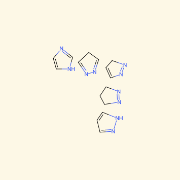 C1=CN=NC1.C1=NN=CC1.C1CN=NC1.c1c[nH]cn1.c1cn[nH]c1